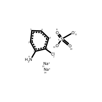 Nc1ccccc1Cl.O=S(=O)([O-])[O-].[Na+].[Na+]